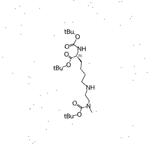 CN(CCNCCCC[C@H](NC(=O)OC(C)(C)C)C(=O)OC(C)(C)C)C(=O)OC(C)(C)C